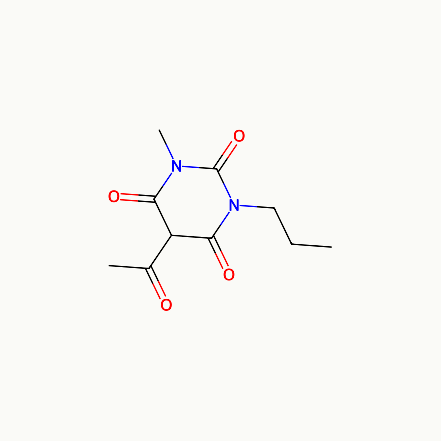 CCCN1C(=O)C(C(C)=O)C(=O)N(C)C1=O